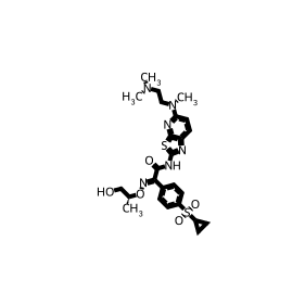 C[C@H](CO)O/N=C(/C(=O)Nc1nc2ccc(N(C)CCN(C)C)nc2s1)c1ccc(S(=O)(=O)C2CC2)cc1